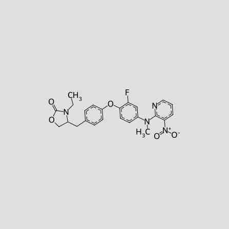 CCN1C(=O)OCC1Cc1ccc(Oc2ccc(N(C)c3ncccc3[N+](=O)[O-])cc2F)cc1